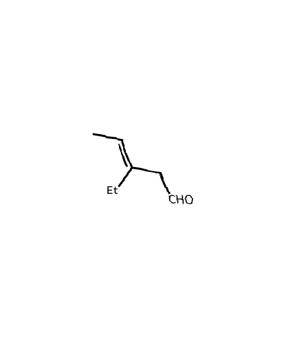 C/C=C(\CC)CC=O